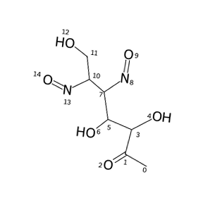 CC(=O)C(O)C(O)C(N=O)C(CO)N=O